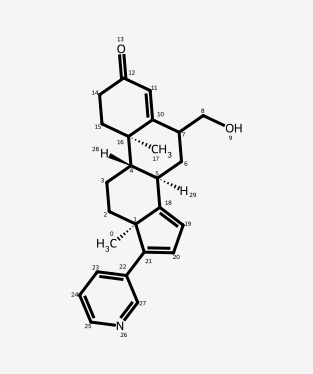 C[C@]12CC[C@H]3[C@@H](CC(CO)C4=CC(=O)CC[C@@]43C)C1=CC=C2c1cccnc1